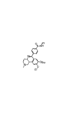 CCOc1cc2c(cc1OC)C(c1ccc(C(=O)NC(C)C)cc1)=NC1CCN(C)CC21